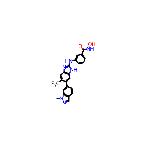 Cn1ncc2ccc(-c3cc4[nH]c(Nc5cccc(C(=O)NO)c5)nc4cc3C(F)(F)F)cc21